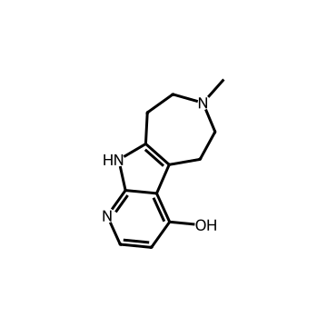 CN1CCc2[nH]c3nccc(O)c3c2CC1